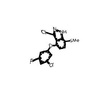 CSc1ccc(Oc2cc(F)cc(Cl)c2)c2c(Cl)n[nH]c12